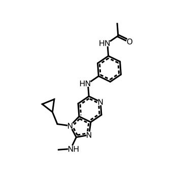 CNc1nc2cnc(Nc3cccc(NC(C)=O)c3)cc2n1CC1CC1